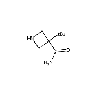 CC(C)(C)C1(C(N)=O)CNC1